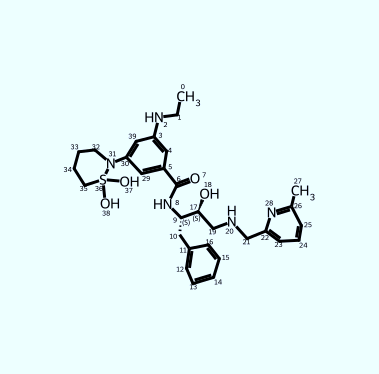 CCNc1cc(C(=O)N[C@@H](Cc2ccccc2)[C@@H](O)CNCc2cccc(C)n2)cc(N2CCCCS2(O)O)c1